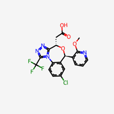 COc1ncccc1[C@@H]1O[C@@H](CC(=O)O)c2nnc(C(F)(F)F)n2-c2ccc(Cl)cc21